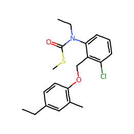 CCc1ccc(OCc2c(Cl)cccc2N(CC)C(=O)SC)c(C)c1